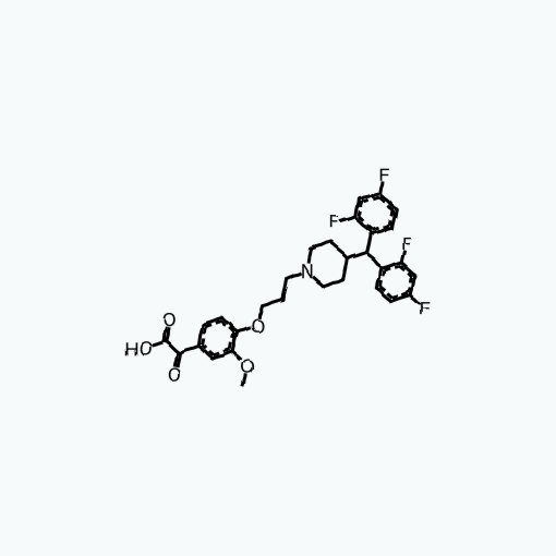 COc1cc(C(=O)C(=O)O)ccc1OCCCN1CCC(C(c2ccc(F)cc2F)c2ccc(F)cc2F)CC1